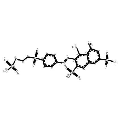 Nc1cc(S(=O)(=O)O)cc2cc(S(=O)(=O)O)c(N=Nc3ccc(S(=O)(=O)CCOS(=O)(=O)O)cc3)c(N)c12